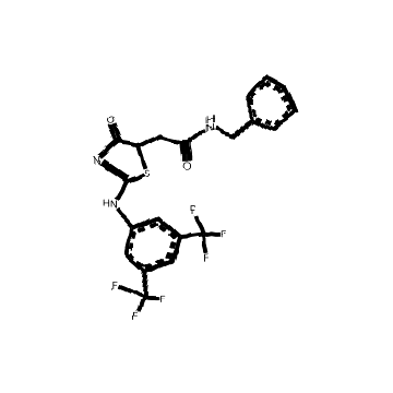 O=C(CC1SC(Nc2cc(C(F)(F)F)cc(C(F)(F)F)c2)=NC1=O)NCc1ccccc1